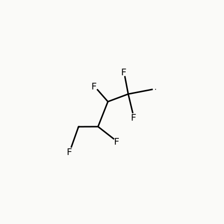 [CH2]C(F)(F)C(F)C(F)CF